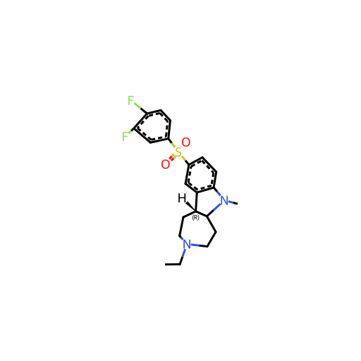 CCN1CCC2[C@H](CC1)c1cc(S(=O)(=O)c3ccc(F)c(F)c3)ccc1N2C